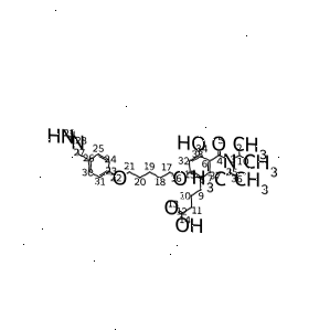 CC(C)N(C(=O)c1cc(CCCC(=O)O)c(OCCCCCOc2ccc(CN=N)cc2)cc1O)C(C)C